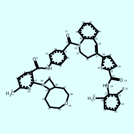 Cc1ccc(C(=O)Nc2ccc(C(=O)N3CCC(c4ccc(C(=O)Nc5c(C)cccc5F)s4)=Cc4ccccc43)cc2)c(N2CC3CCOCCCC32)n1